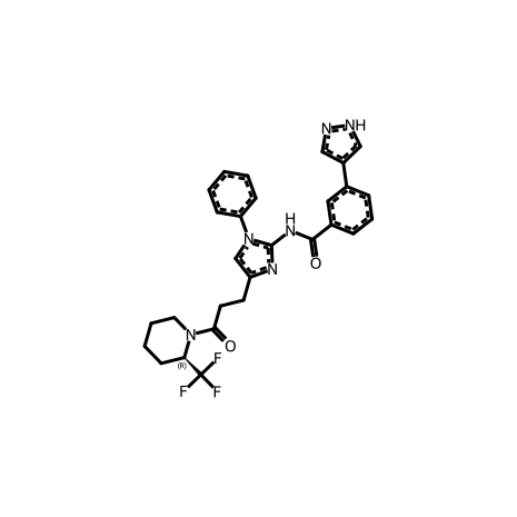 O=C(Nc1nc(CCC(=O)N2CCCC[C@@H]2C(F)(F)F)cn1-c1ccccc1)c1cccc(-c2cn[nH]c2)c1